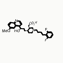 COc1ccc2nccc([C@H](O)CC[C@@H]3CCN(CCCCc4c(F)cccc4F)C[C@@H]3CC(=O)O)c2c1